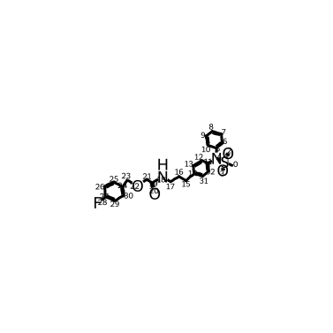 CS(=O)(=O)N(c1ccccc1)c1ccc(CCCNC(=O)COCc2ccc(F)cc2)cc1